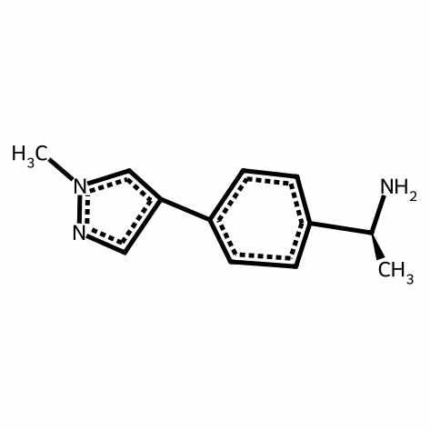 C[C@H](N)c1ccc(-c2cnn(C)c2)cc1